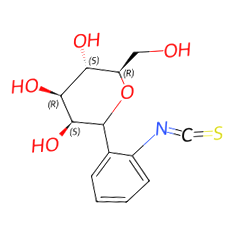 OC[C@H]1OC(c2ccccc2N=C=S)[C@@H](O)[C@@H](O)[C@@H]1O